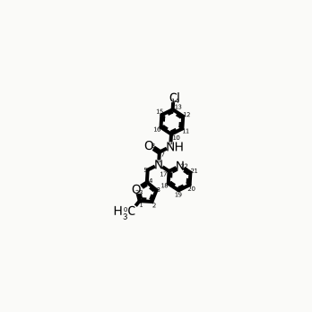 Cc1ccc(CN(C(=O)Nc2ccc(Cl)cc2)c2ccccn2)o1